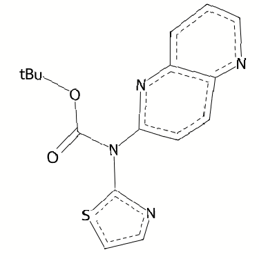 CC(C)(C)OC(=O)N(c1ccc2ncccc2n1)c1nccs1